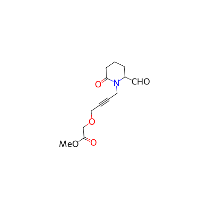 COC(=O)COCC#CCN1C(=O)CCCC1C=O